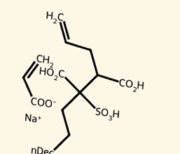 C=CC(=O)[O-].C=CCC(C(=O)O)C(CCCCCCCCCCCC)(C(=O)O)S(=O)(=O)O.[Na+]